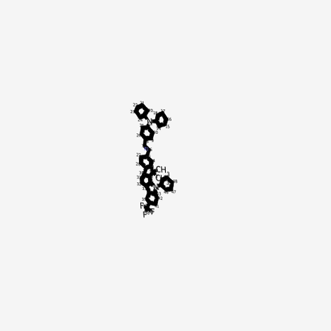 CC1(C)c2cc(/C=C/c3ccc(N(c4ccccc4)c4ccccc4)cc3)ccc2-c2ccc3c4cc(C(F)(F)F)ccc4n(-c4ccccc4)c3c21